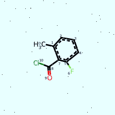 Cc1cccc(F)c1C(=O)Cl